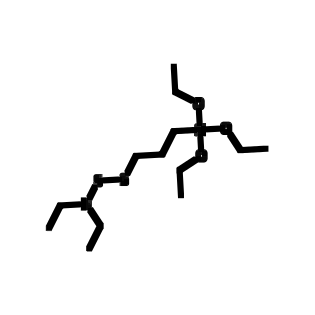 CCO[Si](CCCSSN(CC)CC)(OCC)OCC